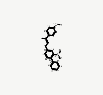 COc1ccc(C(C)=CCc2ccc(-c3ccccc3)c(N(C)C)c2)cc1